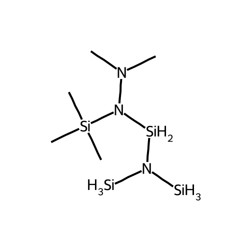 CN(C)N([SiH2]N([SiH3])[SiH3])[Si](C)(C)C